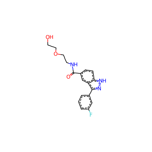 O=C(NCCOCCO)c1ccc2[nH]nc(-c3cccc(F)c3)c2c1